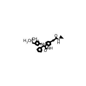 CN(C)Cc1ccc(NC(=C2C(=O)Nc3cc(C#CC(=O)NC4CC4)ccc32)c2ccccc2)cc1